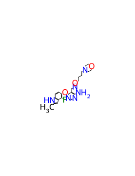 Cc1cc2c(F)c(Oc3ncnc(N)c3C=NOCCCCN3CCOCC3)ccc2[nH]1